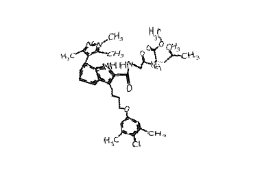 COC(=O)[C@H](CC(C)C)NC(=O)CNC(=O)c1[nH]c2c(-c3c(C)nn(C)c3C)cccc2c1CCCOc1cc(C)c(Cl)c(C)c1